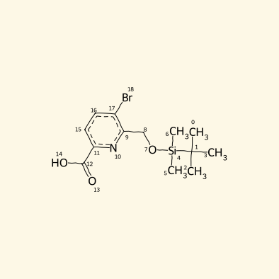 CC(C)(C)[Si](C)(C)OCc1nc(C(=O)O)ccc1Br